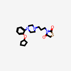 O=C1CSC(=O)N1CCCN1CCN(c2ccccc2OC2CCCC2)CC1